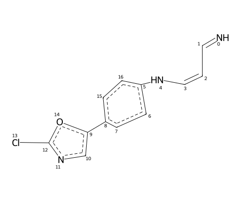 N=C/C=C\Nc1ccc(-c2cnc(Cl)o2)cc1